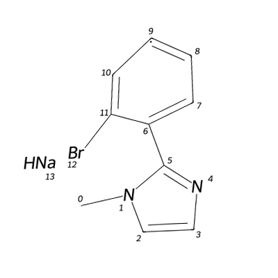 Cn1ccnc1-c1cc[c]cc1Br.[NaH]